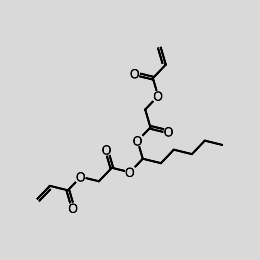 C=CC(=O)OCC(=O)OC(CCCCC)OC(=O)COC(=O)C=C